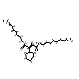 CCCCCCCCOC(=O)C(C)=C(C(=O)OCCCCCCCC)C1CCCCC1